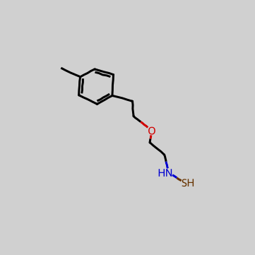 Cc1ccc(CCOCCNS)cc1